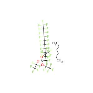 CCCCCC.FC(F)(F)C(F)(F)O[Si](OC(F)(F)C(F)(F)F)(OC(F)(F)C(F)(F)F)C(F)(F)C(F)(F)C(F)(F)C(F)(F)C(F)(F)C(F)(F)C(F)(F)C(F)(F)C(F)(F)C(F)(F)F